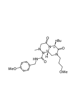 CCCC[C@H]1C(=O)N(CCCOC)C[C@H]2N1C(=O)CN(C)N2C(=O)NCc1ccc(OC)cc1